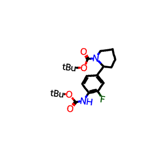 CC(C)(C)OC(=O)Nc1ccc(C2CCCCN2C(=O)OC(C)(C)C)cc1F